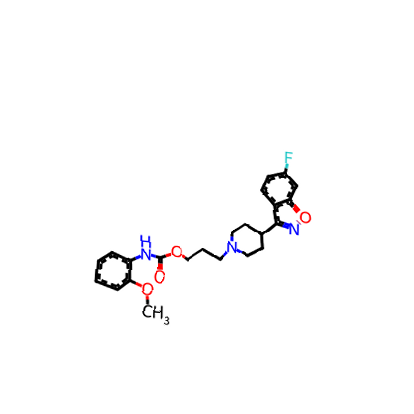 COc1ccccc1NC(=O)OCCCN1CCC(c2noc3cc(F)ccc23)CC1